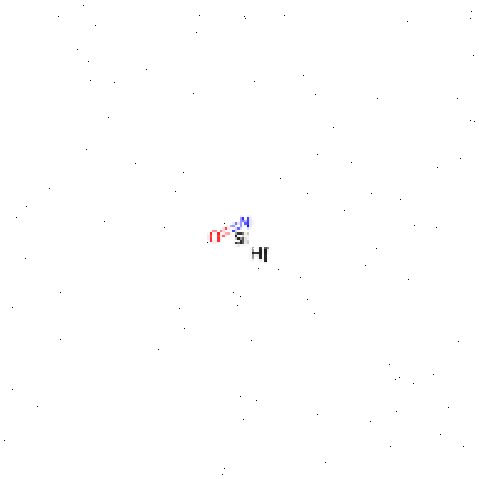 [Hf].[N]=O.[Si]